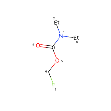 CCN(CC)C(=O)OCF